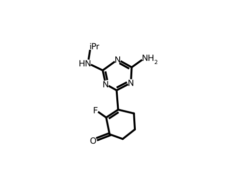 CC(C)Nc1nc(N)nc(C2=C(F)C(=O)CCC2)n1